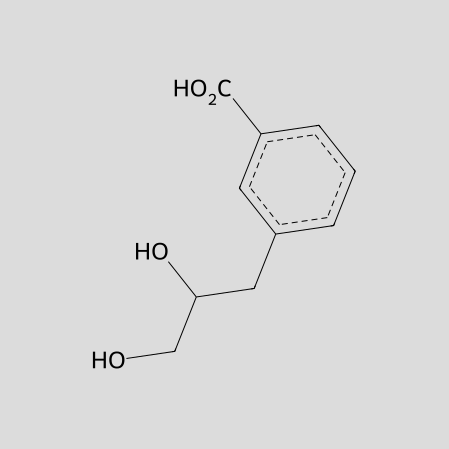 O=C(O)c1cccc(CC(O)CO)c1